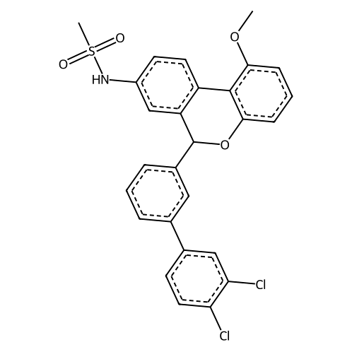 COc1cccc2c1-c1ccc(NS(C)(=O)=O)cc1C(c1cccc(-c3ccc(Cl)c(Cl)c3)c1)O2